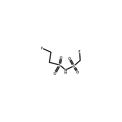 O=S(=O)(CF)NS(=O)(=O)CCF